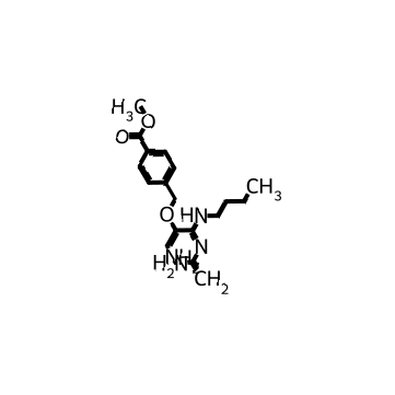 C=C(N)/N=C(NCCCC)\C(=C/N)OCc1ccc(C(=O)OC)cc1